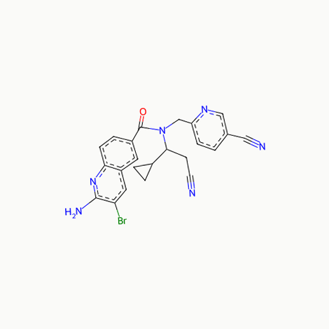 N#CCC(C1CC1)N(Cc1ccc(C#N)cn1)C(=O)c1ccc2nc(N)c(Br)cc2c1